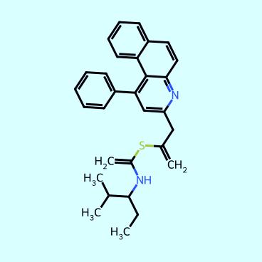 C=C(Cc1cc(-c2ccccc2)c2c(ccc3ccccc32)n1)SC(=C)NC(CC)C(C)C